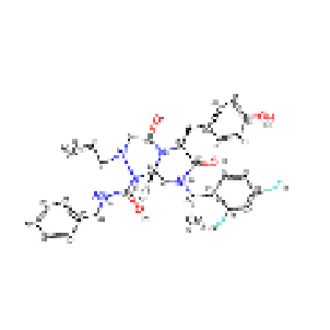 C=CCN1CC(=O)N2[C@@H](Cc3ccc(O)cc3)C(=O)N([C@@H](C)c3ccc(F)cc3F)C[C@@H]2N1C(=O)NCc1ccccc1